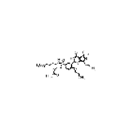 CCCOc1ccc(S(=O)(=O)NC(CCCOC)COC(C)=O)cc1-c1nc2c(CCC)nn(C)c2c(=O)[nH]1